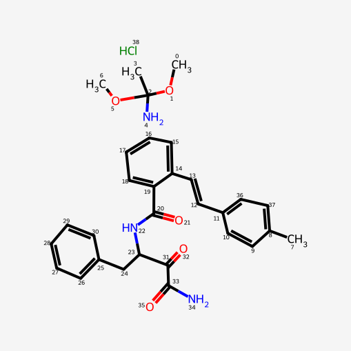 COC(C)(N)OC.Cc1ccc(C=Cc2ccccc2C(=O)NC(Cc2ccccc2)C(=O)C(N)=O)cc1.Cl